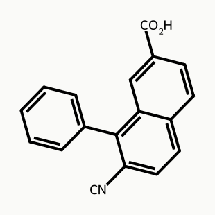 [C-]#[N+]c1ccc2ccc(C(=O)O)cc2c1-c1ccccc1